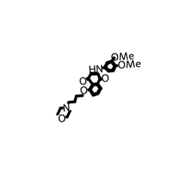 COc1ccc(NC2=CC(=O)c3c(OCCCCN4CCOCC4)cccc3C2=O)cc1OC